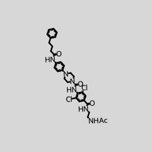 CC(=O)NCCNC(=O)c1cc(Cl)c(NC(=O)N2CCN(c3ccc(NC(=O)CCCc4ccccc4)cc3)CC2)c(Cl)c1